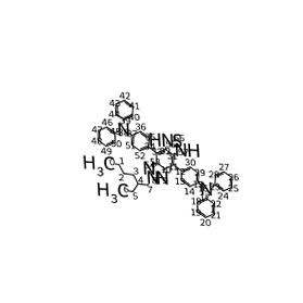 CCCCC(CC)Cn1nc2c(-c3ccc(N(c4ccccc4)c4ccccc4)cc3)c3c(c(-c4ccc(N(c5ccccc5)c5ccccc5)cc4)c2n1)NSN3